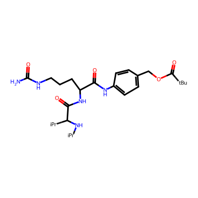 CC(C)NC(C(=O)NC(CCCNC(N)=O)C(=O)Nc1ccc(COC(=O)C(C)(C)C)cc1)C(C)C